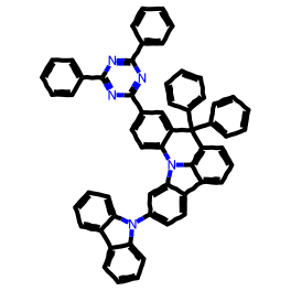 c1ccc(-c2nc(-c3ccccc3)nc(-c3ccc4c(c3)C(c3ccccc3)(c3ccccc3)c3cccc5c6ccc(-n7c8ccccc8c8ccccc87)cc6n-4c35)n2)cc1